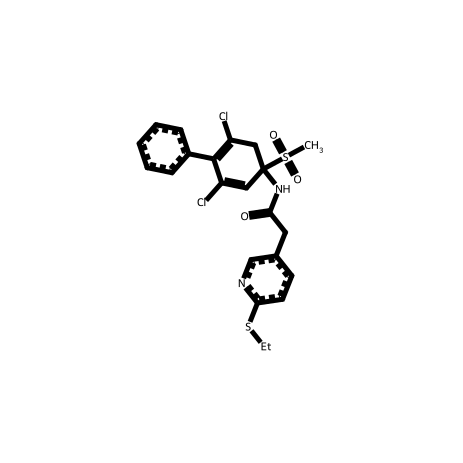 CCSc1ccc(CC(=O)NC2(S(C)(=O)=O)C=C(Cl)C(c3ccccc3)=C(Cl)C2)cn1